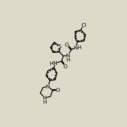 O=C(Nc1ccc(Cl)cc1)NC(C(=O)Nc1ccc(N2CCNCC2=O)cc1)c1cccs1